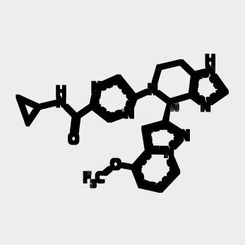 O=C(NC1CC1)c1cnc(N2CCc3[nH]cnc3[C@H]2c2cc3c(OC(F)(F)F)cccn3n2)cn1